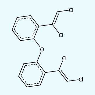 ClC=C(Cl)c1ccccc1Oc1ccccc1C(Cl)=CCl